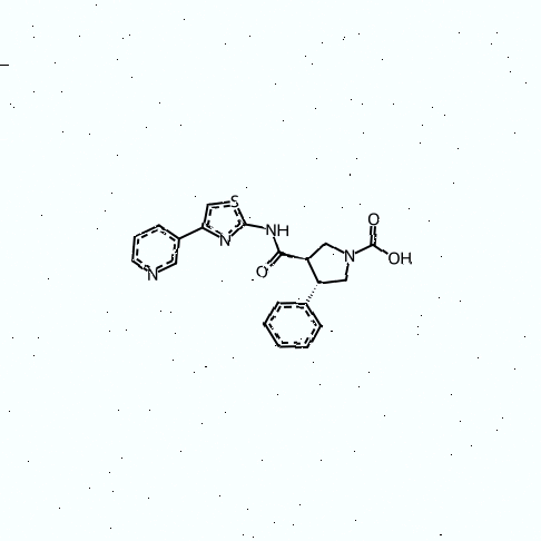 O=C(Nc1nc(-c2cccnc2)cs1)[C@H]1CN(C(=O)O)C[C@@H]1c1ccccc1